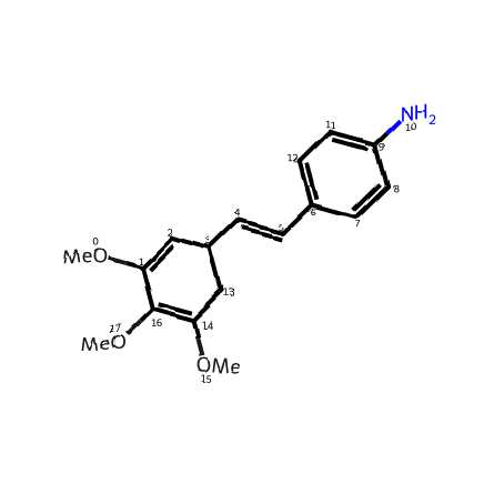 COC1=CC(C=Cc2ccc(N)cc2)CC(OC)=C1OC